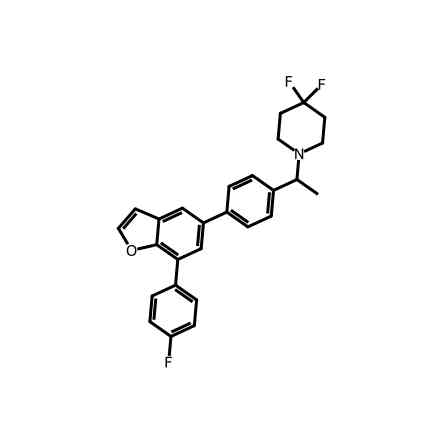 CC(c1ccc(-c2cc(-c3ccc(F)cc3)c3occc3c2)cc1)N1CCC(F)(F)CC1